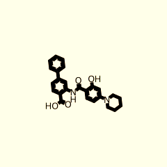 O=C(Nc1cc(-c2ccccc2)ccc1C(=O)O)c1ccc(N2CCCCC2)cc1O